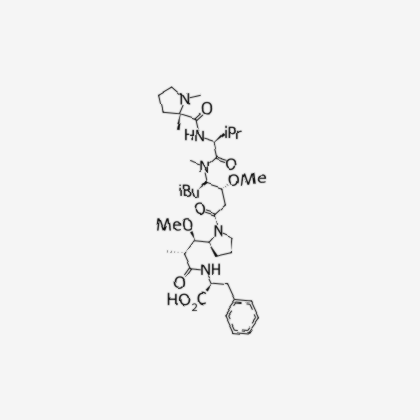 CC[C@H](C)C([C@@H](CC(=O)N1CCC[C@H]1[C@H](OC)[C@@H](C)C(=O)N[C@@H](Cc1ccccc1)C(=O)O)OC)N(C)C(=O)[C@@H](NC(=O)[C@]1(C)CCCN1C)C(C)C